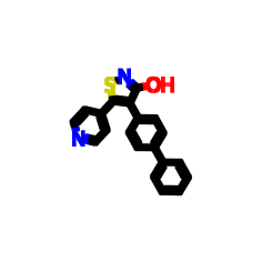 Oc1nsc(-c2ccncc2)c1-c1ccc(-c2ccccc2)cc1